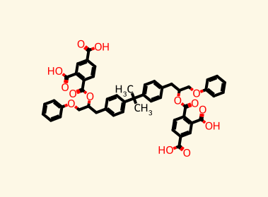 CC(C)(c1ccc(CC(COc2ccccc2)OC(=O)c2ccc(C(=O)O)cc2C(=O)O)cc1)c1ccc(CC(COc2ccccc2)OC(=O)c2ccc(C(=O)O)cc2C(=O)O)cc1